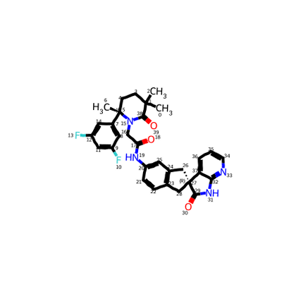 CC1(C)CC[C@@](C)(c2cc(F)cc(F)c2)N(CC(=O)Nc2ccc3c(c2)C[C@@]2(C3)C(=O)Nc3ncccc32)C1=O